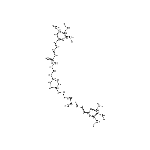 COc1cc(/C=C/C=C/C(=O)NCCCN2CCN(CCCNC(=O)/C=C/C=C/c3cc(OC)c(OC)c(OC)c3)CC2)cc(OC)c1OC